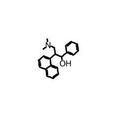 CN(C)CC(c1cccc2ccccc12)C(O)c1ccccc1